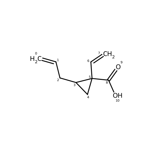 C=CCC1CC1(C=C)C(=O)O